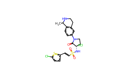 CC1NCCc2cc(N3CC[C@H](NS(=O)(=O)C=Cc4ccc(Cl)s4)C3=O)ccc21.Cl